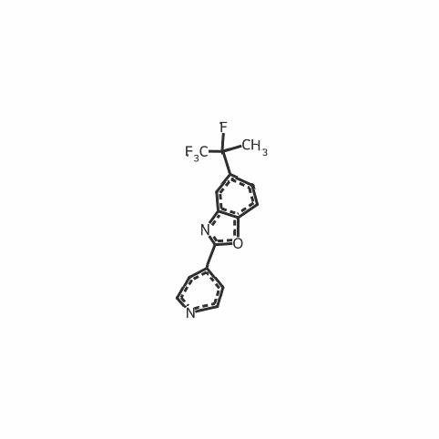 CC(F)(c1ccc2oc(-c3ccncc3)nc2c1)C(F)(F)F